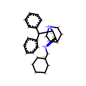 c1ccc(C(c2ccccc2)C2C(=NCC3CCCCC3)C3CCN2CC3)cc1